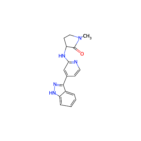 CN1CCC(Nc2cc(-c3n[nH]c4ccccc34)ccn2)C1=O